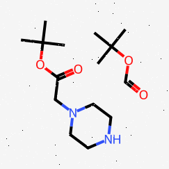 CC(C)(C)OC(=O)CN1CCNCC1.CC(C)(C)OC=O